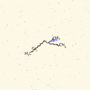 C=C(CCC)CCCCCCC/C=C\CC(CCCCCC)CNC